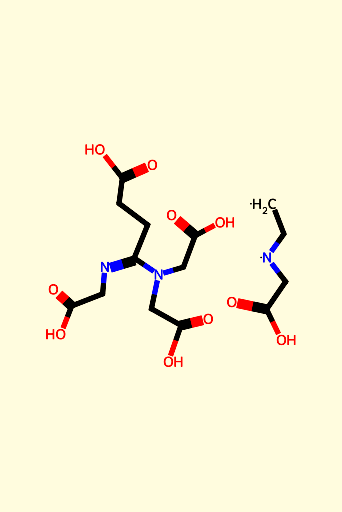 O=C(O)CCC(=NCC(=O)O)N(CC(=O)O)CC(=O)O.[CH2]C[N]CC(=O)O